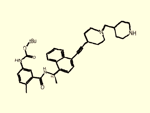 Cc1ccc(NC(=O)OC(C)(C)C)cc1C(=O)N[C@H](C)c1ccc(C#CC2CCN(CC3CCNCC3)CC2)c2ccccc12